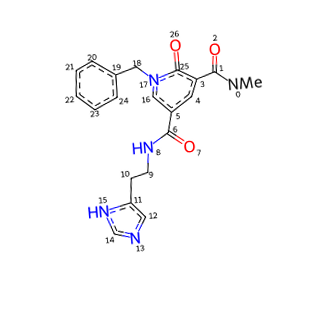 CNC(=O)c1cc(C(=O)NCCc2cnc[nH]2)cn(Cc2ccccc2)c1=O